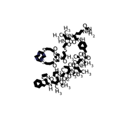 CC[C@H](C)[C@@H]([C@@H](CC(=O)N1CCC[C@H]1[C@H](OC)[C@@H](C)C(=O)N[C@@H](Cc1ccccc1)c1nccs1)OC)N(C)C(=O)[C@@H](NC(=O)[C@H](C(C)C)N(C)C(=O)OCc1ccc(NC(=O)[C@H](CCCNC(N)=O)NC(=O)[C@@H](NC(=O)CSCCC(=O)N2CN3CN(C2)C(=O)CCSC2=C/C(=C/C=C\C=C\2)SCCC3=O)C(C)C)cc1)C(C)C